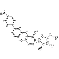 COc1ccc(-c2ccnc(Cn3c(=O)ccn([C@@H]4O[C@H](CO)[C@H](O)C4O)c3=O)c2)cc1